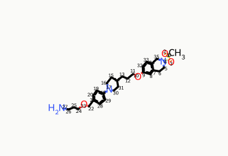 CS(=O)(=O)N1CCc2cc(OCCCC3CCN(c4ccc(COCCCN)cc4)CC3)ccc2C1